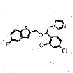 Fc1ccc2sc(COC(Cn3ccnc3)c3ccc(Cl)cc3Cl)cc2c1